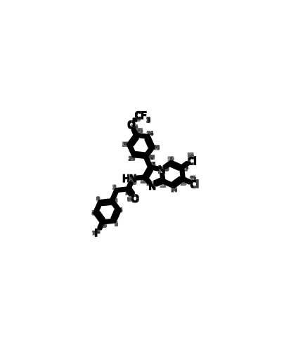 O=C(Cc1ccc(F)cc1)Nc1nc2cc(Cl)c(Cl)cn2c1-c1ccc(OC(F)(F)F)cc1